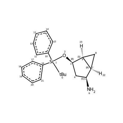 CC(C)(C)[Si](O[C@@H]1C[C@H](N)[C@@H]2C[C@@H]21)(c1ccccc1)c1ccccc1